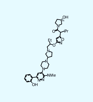 CCC(CN1CCC(N2CCN(c3cc(-c4ccccc4O)nnc3NC)CC2)C1)Oc1cc(C(C(=O)N2CC[C@@H](O)C2)C(C)C)on1